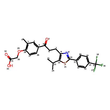 Cc1cc(C(=O)CCc2nc(-c3ccc(C(F)(F)F)cc3)sc2C(C)C)ccc1OCC(=O)O